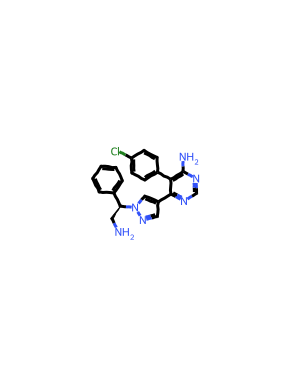 NC[C@@H](c1ccccc1)n1cc(-c2ncnc(N)c2-c2ccc(Cl)cc2)cn1